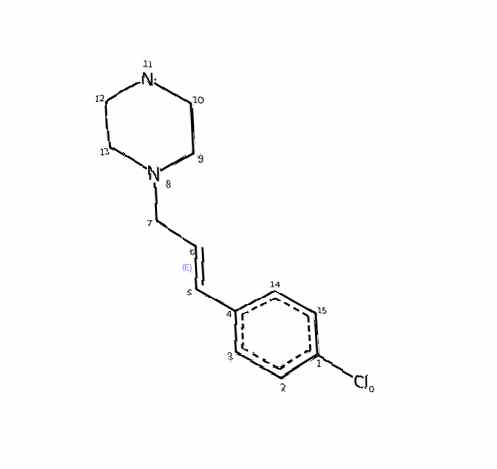 Clc1ccc(/C=C/CN2CC[N]CC2)cc1